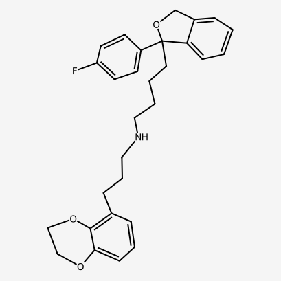 Fc1ccc(C2(CCCCNCCCc3cccc4c3OCCO4)OCc3ccccc32)cc1